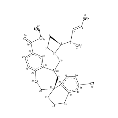 CCCC=C[C@H](O)[C@@H]1CC[C@H]1CN1C[C@@]2(CCCc3cc(Cl)ccc32)COc2ccc(C(=O)OC(C)(C)C)cc21